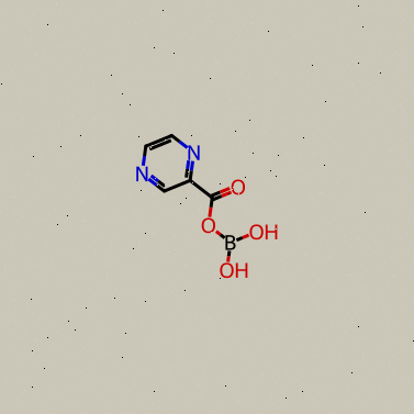 O=C(OB(O)O)c1cnccn1